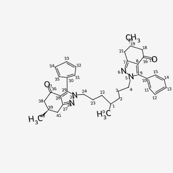 CC(CCCn1nc2c(c1-c1ccccc1)C(=O)C[C@@H](C)C2)CCCn1nc2c(c1-c1ccccc1)C(=O)C[C@H](C)C2